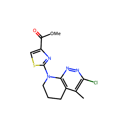 COC(=O)c1csc(N2CCCc3c2nnc(Cl)c3C)n1